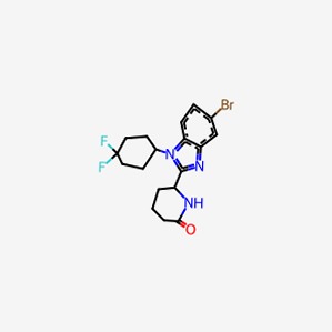 O=C1CCCC(c2nc3cc(Br)ccc3n2C2CCC(F)(F)CC2)N1